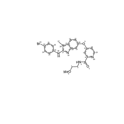 COCCNC(=O)c1cc(Oc2ccc3c(c2)nc(Nc2ccc(Br)cc2)n3C)ccn1